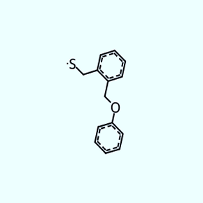 [S]Cc1ccccc1COc1ccccc1